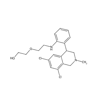 CN1Cc2c(Cl)cc(Cl)cc2C(c2ccccc2NCCOCCO)C1